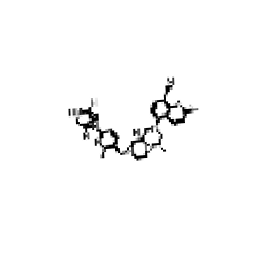 [2H]c1ccc2c(N3C[C@@H]4CN(Cc5ccc(N6C[C@@H]7C[C@H]6CN7)nc5C)CCN4[C@H](C)C3)ccc(C#N)c2n1